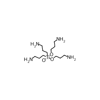 NCCC[O][Ti](=[O])([CH2]CCN)([CH2]CCN)[O]CCCN